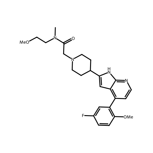 COCCN(C)C(=O)CN1CCC(c2cc3c(-c4cc(F)ccc4OC)ccnc3[nH]2)CC1